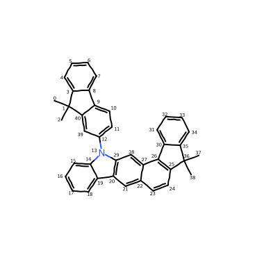 CC1(C)c2ccccc2-c2ccc(-n3c4ccccc4c4cc5ccc6c(c5cc43)-c3ccccc3C6(C)C)cc21